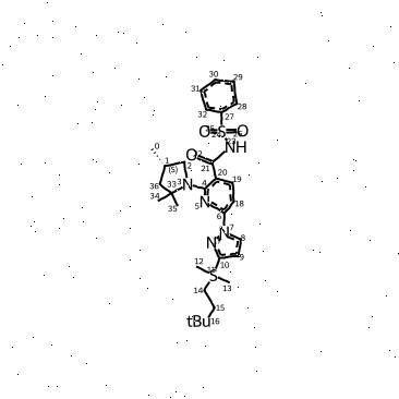 C[C@@H]1CN(c2nc(-n3ccc(S(C)(C)CCC(C)(C)C)n3)ccc2C(=O)NS(=O)(=O)c2ccccc2)C(C)(C)C1